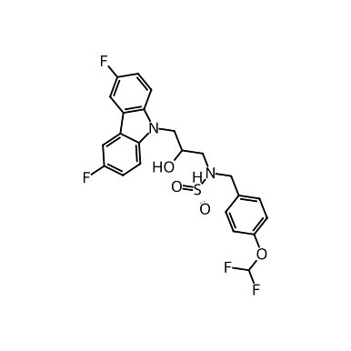 O=[SH](=O)N(Cc1ccc(OC(F)F)cc1)CC(O)Cn1c2ccc(F)cc2c2cc(F)ccc21